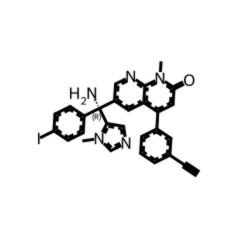 C#Cc1cccc(-c2cc(=O)n(C)c3ncc([C@](N)(c4ccc(I)cc4)c4cncn4C)cc23)c1